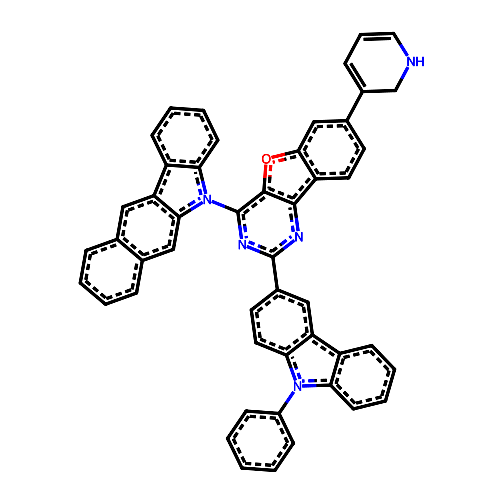 C1=CNCC(c2ccc3c(c2)oc2c(-n4c5ccccc5c5cc6ccccc6cc54)nc(-c4ccc5c(c4)c4ccccc4n5-c4ccccc4)nc23)=C1